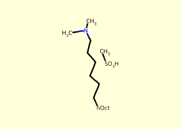 CCCCCCCCCCCCCCN(C)C.CS(=O)(=O)O